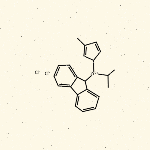 CC1=C[CH]([Zr+2]([CH](C)C)[CH]2c3ccccc3-c3ccccc32)C=C1.[Cl-].[Cl-]